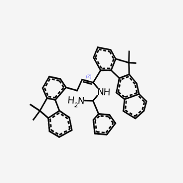 CC1(C)c2ccccc2-c2c(C/C=C(\NC(N)c3ccccc3)c3cccc4c3-c3cc5ccccc5cc3C4(C)C)cccc21